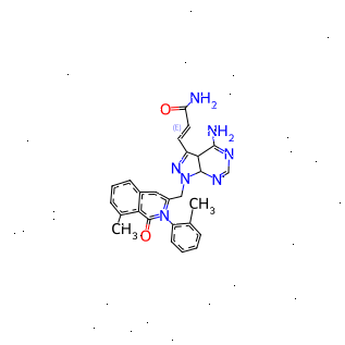 Cc1ccccc1-n1c(CN2N=C(/C=C/C(N)=O)C3C(N)=NC=NC32)cc2cccc(C)c2c1=O